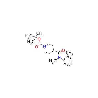 Cc1ccccc1N(C)C(=O)C1CCN(C(=O)OC(C)(C)C)CC1